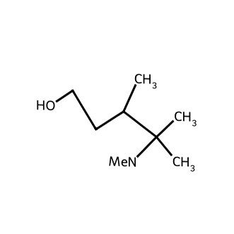 CNC(C)(C)C(C)CCO